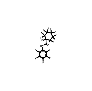 O=C(Nc1c(F)c(F)c(F)c(F)c1F)C1(F)C(F)(F)C(F)(F)C(F)(F)C(F)(F)C1(F)F